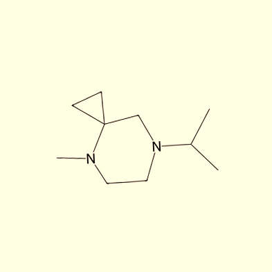 CC(C)N1CCN(C)C2(CC2)C1